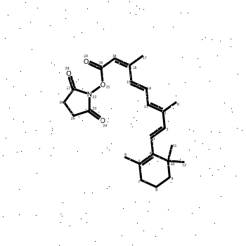 CC(C=CC1=C(C)CCCC1(C)C)=CC=C/C(C)=C\C(=O)ON1C(=O)CCC1=O